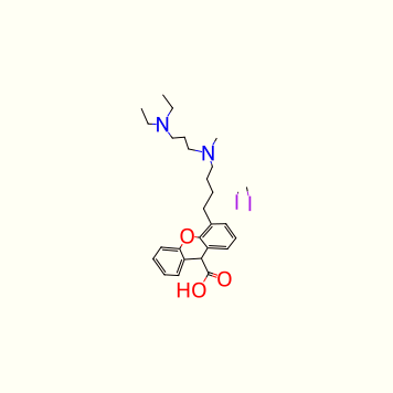 CCN(CC)CCCN(C)CCCCc1cccc2c1Oc1ccccc1C2C(=O)O.CI.CI